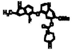 COc1cc2nccc(Oc3ccc4[nH]c(C)cc4c3F)c2cc1OC(=O)N1CCNCC1